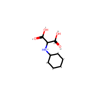 O=C(O)C(NC1CCCCC1)C(=O)O